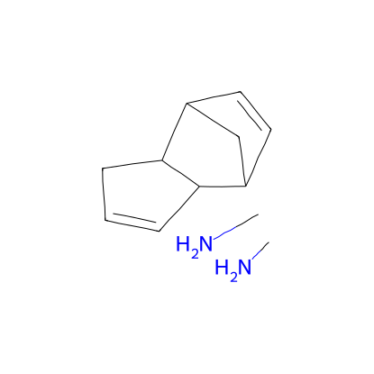 C1=CC2C3C=CC(C3)C2C1.CN.CN